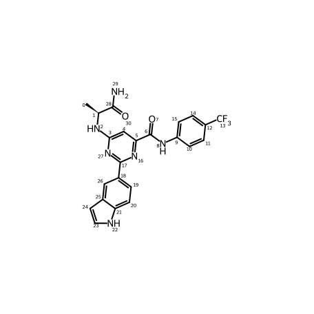 C[C@H](Nc1cc(C(=O)Nc2ccc(C(F)(F)F)cc2)nc(-c2ccc3[nH]ccc3c2)n1)C(N)=O